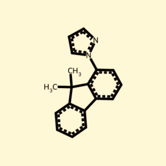 CC1(C)c2ccccc2-c2cccc(-n3cccn3)c21